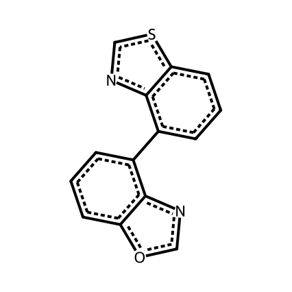 c1cc(-c2cccc3scnc23)c2ncoc2c1